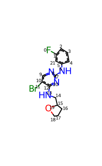 Fc1cccc(Nc2ncc(Br)c(NCC3CCCO3)n2)c1